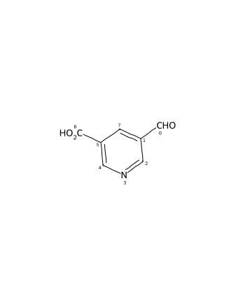 O=Cc1cncc(C(=O)O)c1